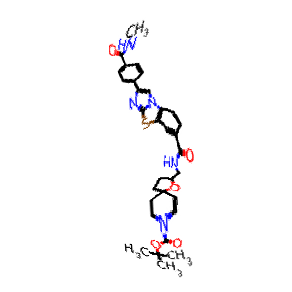 CNC(=O)c1ccc(-c2cn3c(n2)sc2cc(C(=O)NCC4CCC5(CCN(C(=O)OC(C)(C)C)CC5)O4)ccc23)cc1